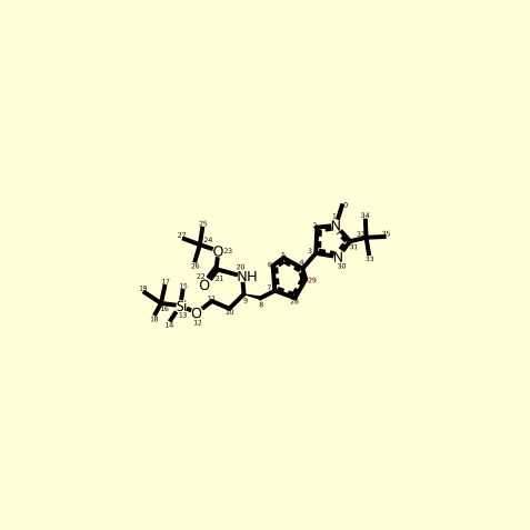 Cn1cc(-c2ccc(C[C@@H](CCO[Si](C)(C)C(C)(C)C)NC(=O)OC(C)(C)C)cc2)nc1C(C)(C)C